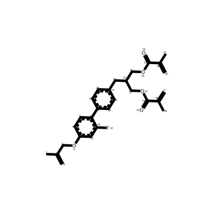 C=C(C)COc1ccc(-c2ccc(CC(COC(=O)C(=C)C)COC(=O)C(=C)C)cc2)c(F)c1